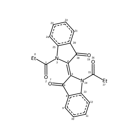 CCC(=O)N1C(=C2C(=O)c3ccccc3N2C(=O)CC)C(=O)c2ccccc21